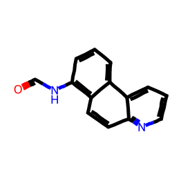 O=CNc1cccc2c1ccc1ncccc12